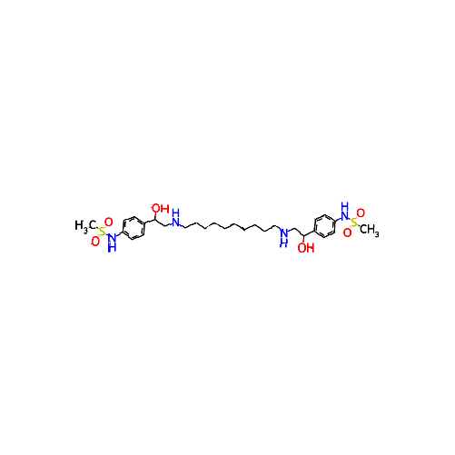 CS(=O)(=O)Nc1ccc(C(O)CNCCCCCCCCCCNCC(O)c2ccc(NS(C)(=O)=O)cc2)cc1